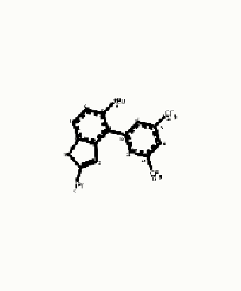 CC(C)C1=Cc2c(ccc(C(C)(C)C)c2-c2cc(C(F)(F)F)cc(C(F)(F)F)c2)[CH]1